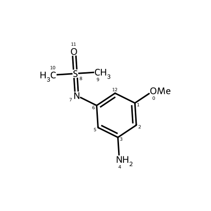 COc1cc(N)cc(N=S(C)(C)=O)c1